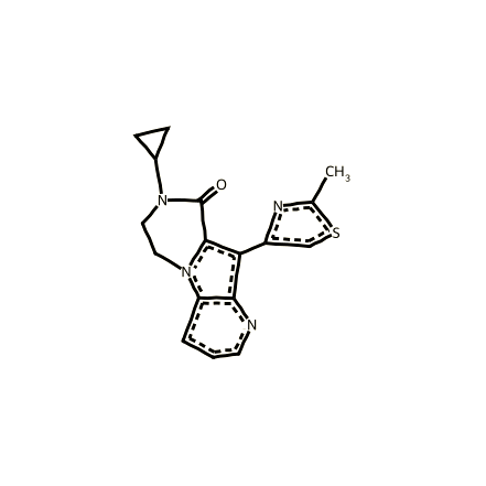 Cc1nc(-c2c3n(c4cccnc24)CCN(C2CC2)C3=O)cs1